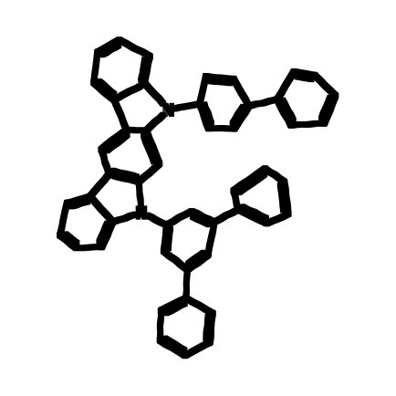 c1ccc(-c2ccc(-n3c4ccccc4c4cc5c6ccccc6n(-c6cc(-c7ccccc7)cc(-c7ccccc7)c6)c5cc43)cc2)cc1